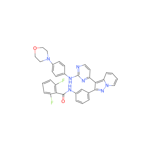 O=C(Nc1cccc(-c2nn3ccccc3c2-c2ccnc(Nc3ccc(N4CCOCC4)cc3)n2)c1)c1c(F)cccc1F